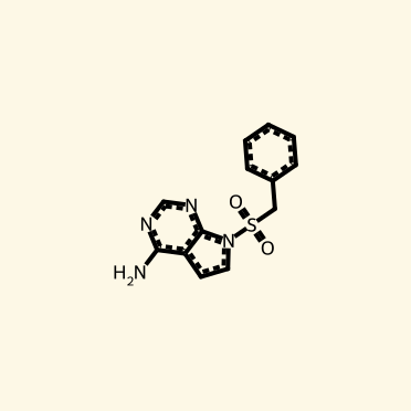 Nc1ncnc2c1ccn2S(=O)(=O)Cc1ccccc1